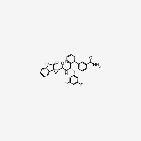 NC(=O)c1cccc(-c2cccnc2[C@H](Cc2cc(F)cc(F)c2)NC(=O)C2CC23C(=O)Nc2ccccc23)c1